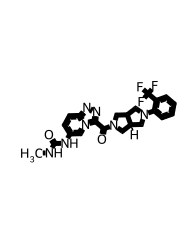 CNC(=O)Nc1ccc2nnc(C(=O)N3CC4CN(c5ccccc5C(F)(F)F)C[C@H]4C3)n2c1